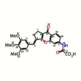 COc1cc(/C=C2\CCc3c2oc2cc(NC(=O)C(=O)O)ccc2c3=O)cc(OC)c1OC